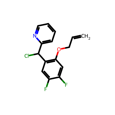 C=CCOc1cc(F)c(F)cc1C(Cl)c1ccccn1